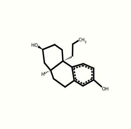 CCC[C@@]12CC[C@H](O)C[C@@H]1CCc1cc(O)ccc12